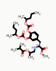 CCCC(C)OC(=O)Oc1ccc(C[C@H](NCC(C)OC(=O)C(C)C)C(=O)OC)cc1OC(=O)OC(C)CCC